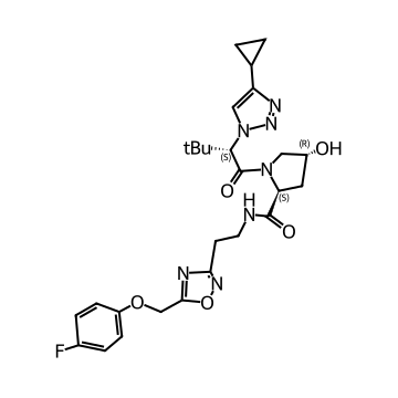 CC(C)(C)[C@@H](C(=O)N1C[C@H](O)C[C@H]1C(=O)NCCc1noc(COc2ccc(F)cc2)n1)n1cc(C2CC2)nn1